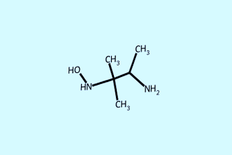 CC(N)C(C)(C)NO